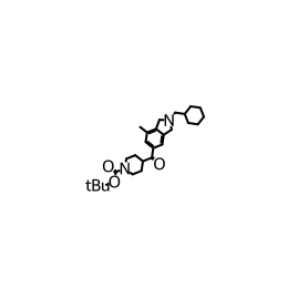 Cc1cc(C(=O)C2CCN(C(=O)OC(C)(C)C)CC2)cc2c1CN(CC1CCCCC1)C2